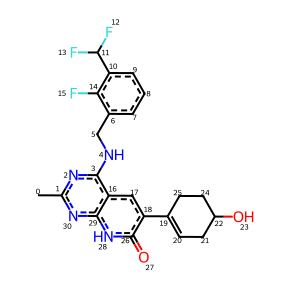 Cc1nc(NCc2cccc(C(F)F)c2F)c2cc(C3=CCC(O)CC3)c(=O)[nH]c2n1